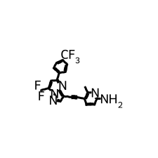 Cc1nc(N)ccc1C#Cc1cnn2c(C(F)F)cc(-c3ccc(C(F)(F)F)cc3)nc12